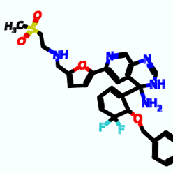 CS(=O)(=O)CCNCc1ccc(-c2cc3c(cn2)N=CNC3(N)C2=CC=CC(F)(F)C2OCc2ccccc2)o1